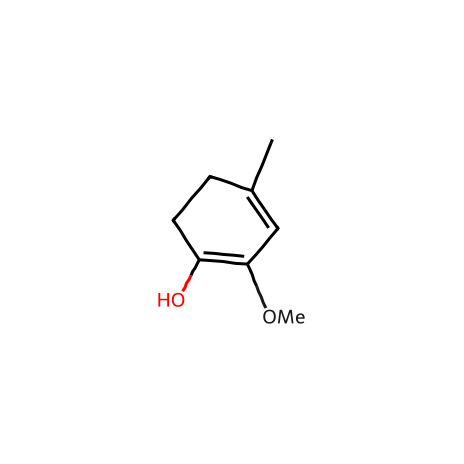 COC1=C(O)CCC(C)=C1